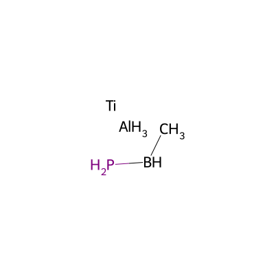 CBP.[AlH3].[Ti]